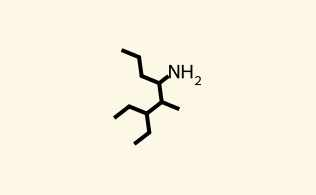 CCCC(N)C(C)C(CC)CC